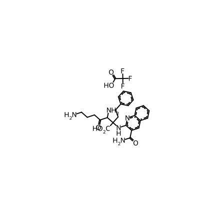 NCCCC(=O)C(N)C(CCc1ccccc1)(Nc1nc2ccccc2cc1C(N)=O)C(=O)O.O=C(O)C(F)(F)F